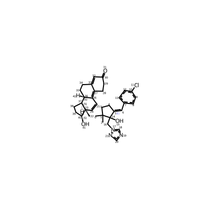 CC1(C)CC/C(=C\c2ccc(Cl)cc2)C1(O)Cn1cncn1.C[C@]12C=CC3=C4CCC(=O)C=C4CC[C@H]3[C@@H]1CC[C@@H]2O